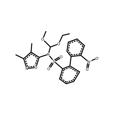 CCOC(OC)N(c1onc(C)c1C)S(=O)(=O)c1ccccc1-c1ccccc1[N+](=O)[O-]